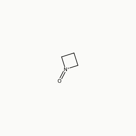 O=[N+]1CCC1